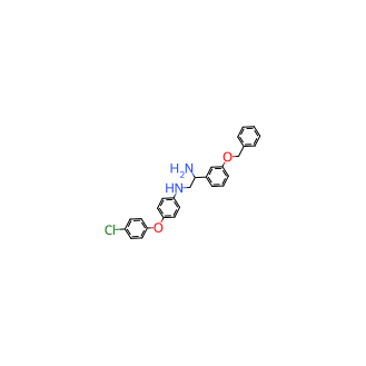 NC(CNc1ccc(Oc2ccc(Cl)cc2)cc1)c1cccc(OCc2ccccc2)c1